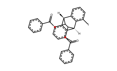 O=C(OC1C(OC(=O)c2ccccc2)[C@H]2c3c(I)cccc3[C@H]1c1cccc(I)c12)c1ccccc1